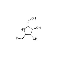 OC[C@H]1N[C@H](CF)[C@@H](O)[C@@H]1O